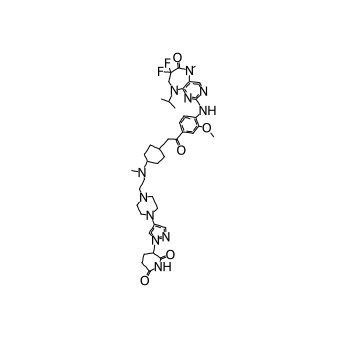 COc1cc(C(=O)CC2CCC(N(C)CCN3CCN(c4cnn(C5CCC(=O)NC5=O)c4)CC3)CC2)ccc1Nc1ncc2c(n1)N(C(C)C)CC(F)(F)C(=O)N2C